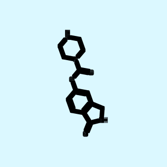 O=C1NCc2cc(OC(=O)N3CCNCC3)ccc21